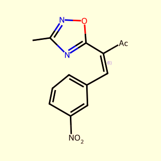 CC(=O)/C(=C/c1cccc([N+](=O)[O-])c1)c1nc(C)no1